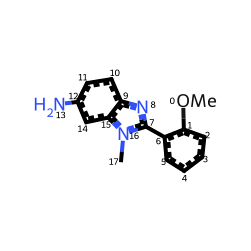 COc1ccccc1-c1nc2ccc(N)cc2n1C